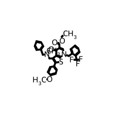 CCOC(=O)c1cn(Cc2ccccc2C(F)(F)F)c2sc(-c3ccc(OC)cc3)c(CN(C)Cc3ccccc3)c2c1=O